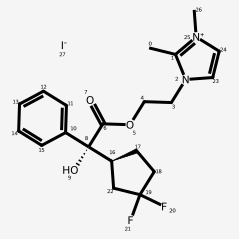 Cc1n(CCOC(=O)[C@](O)(c2ccccc2)[C@H]2CCC(F)(F)C2)cc[n+]1C.[I-]